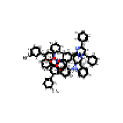 N#Cc1cccc(-c2ccc3c(c2)c2cc(-c4cccc(C#N)c4)ccc2n3-c2c(-c3ccccc3-n3c4ccccc4c4ccccc43)cc(-c3nc(-c4ccccc4)cc(-c4ccccc4)n3)cc2-c2ccccc2-n2c3ccccc3c3ccccc32)c1